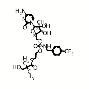 CC(C)(CO)C(=O)SCCOP(=O)(NCc1ccc(C(F)(F)F)cc1)OC[C@H]1OC(n2ccc(N)nc2=O)[C@](C)(O)[C@@H]1O